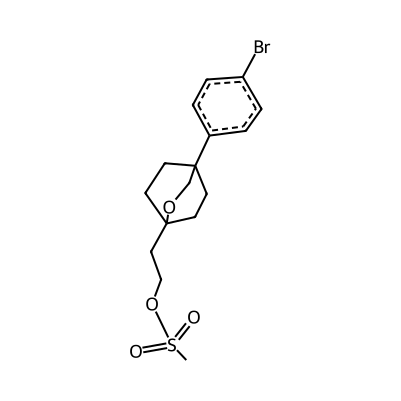 CS(=O)(=O)OCCC12CCC(c3ccc(Br)cc3)(CC1)CO2